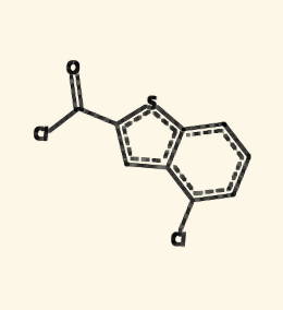 O=C(Cl)c1cc2c(Cl)cccc2s1